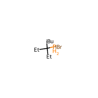 Br.CCC(C)C(P)(CC)CC